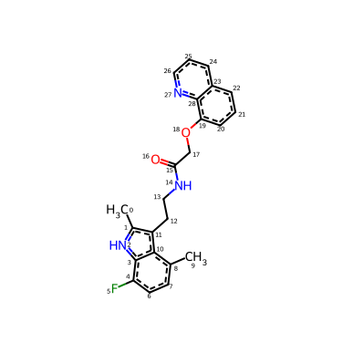 Cc1[nH]c2c(F)ccc(C)c2c1CCNC(=O)COc1cccc2cccnc12